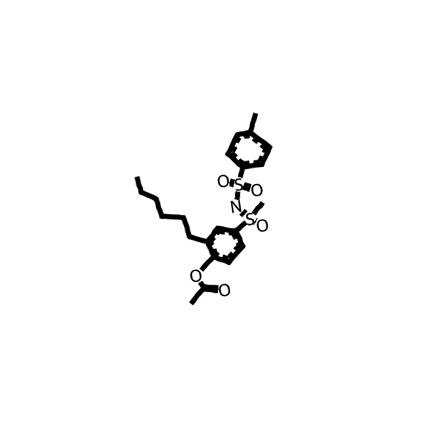 CCCCCCc1cc(S(C)(=O)=NS(=O)(=O)c2ccc(C)cc2)ccc1OC(C)=O